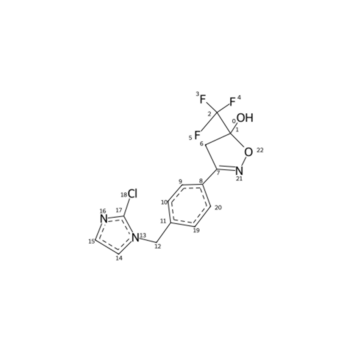 OC1(C(F)(F)F)CC(c2ccc(Cn3ccnc3Cl)cc2)=NO1